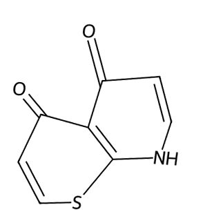 O=c1cc[nH]c2sccc(=O)c12